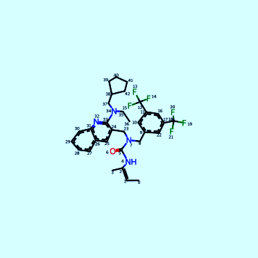 C/C=C(/C)NC(=O)N(Cc1cc(C(F)(F)F)cc(C(F)(F)F)c1)Cc1cc2ccccc2nc1N(CC)CC1CCCC1